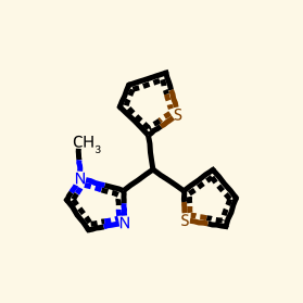 Cn1ccnc1C(c1cccs1)c1cccs1